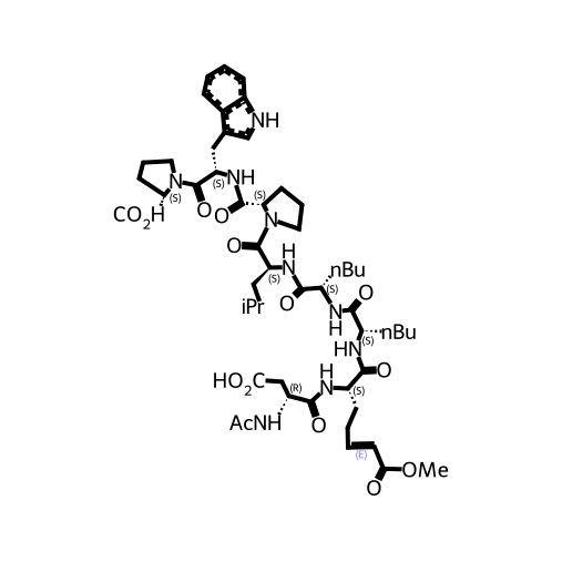 CCCC[C@H](NC(=O)[C@H](CC/C=C/C(=O)OC)NC(=O)[C@@H](CC(=O)O)NC(C)=O)C(=O)N[C@@H](CCCC)C(=O)N[C@@H](CC(C)C)C(=O)N1CCC[C@H]1C(=O)N[C@@H](Cc1c[nH]c2ccccc12)C(=O)N1CCC[C@H]1C(=O)O